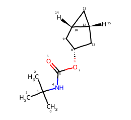 CC(C)(C)NC(=O)O[C@@H]1C[C@@H]2C[C@@H]2C1